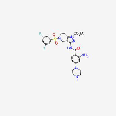 CCOC(=O)n1nc(NC(=O)c2ccc(N3CCN(C)CC3)cc2N)c2c1CCN(S(=O)(=O)c1cc(F)cc(F)c1)C2